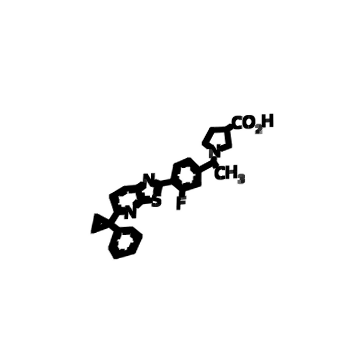 CC(c1ccc(-c2nc3ccc(C4(c5ccccc5)C=C4)nc3s2)c(F)c1)N1CCC(C(=O)O)C1